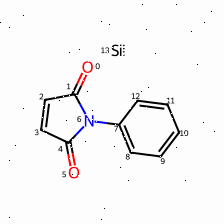 O=C1C=CC(=O)N1c1ccccc1.[Si]